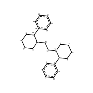 c1ccc(C2CCCCN2CCN2CCCCC2c2ccccc2)cc1